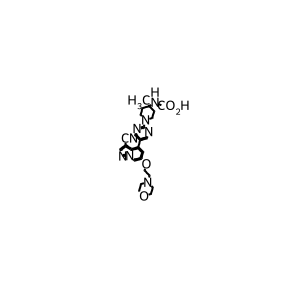 CC1(NC(=O)O)CCN(c2ncc(-c3cc(OCCN4CCOCC4)cn4ncc(C#N)c34)cn2)CC1